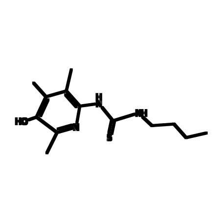 CCCCNC(=S)Nc1nc(C)c(O)c(C)c1C